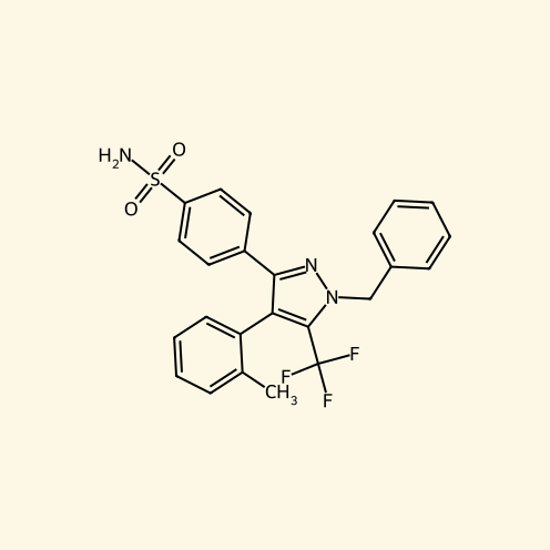 Cc1ccccc1-c1c(-c2ccc(S(N)(=O)=O)cc2)nn(Cc2ccccc2)c1C(F)(F)F